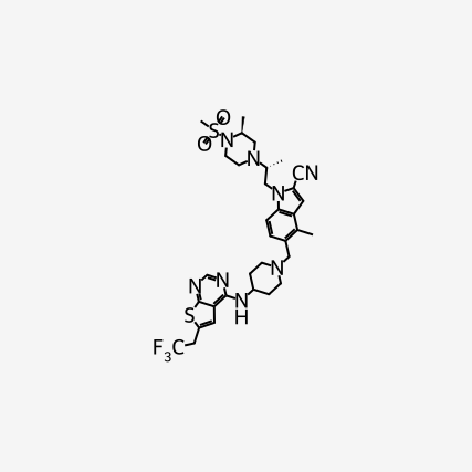 Cc1c(CN2CCC(Nc3ncnc4sc(CC(F)(F)F)cc34)CC2)ccc2c1cc(C#N)n2C[C@@H](C)N1CCN(S(C)(=O)=O)[C@@H](C)C1